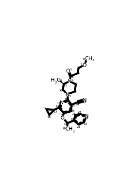 COCCC(=O)N1CCN(c2nc(C3CC3)c(OC(C)c3ccncc3)cc2C#N)C[C@H]1C